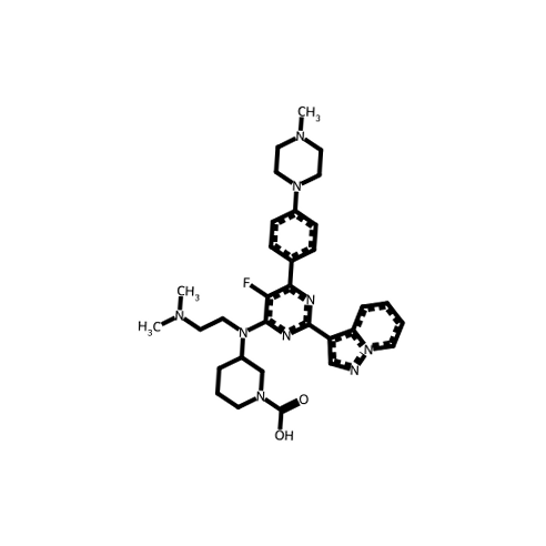 CN(C)CCN(c1nc(-c2cnn3ccccc23)nc(-c2ccc(N3CCN(C)CC3)cc2)c1F)C1CCCN(C(=O)O)C1